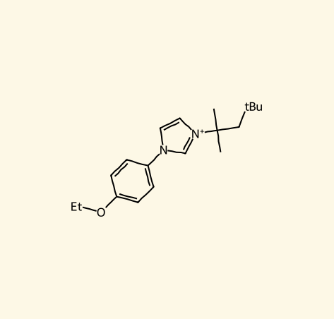 CCOc1ccc(-n2cc[n+](C(C)(C)CC(C)(C)C)c2)cc1